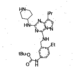 CCc1ccc(NC(=O)OC(C)(C)C)cc1CNc1nc(NC2CCNCC2)nc2c(C(C)C)cnn12